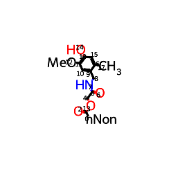 CCCCCCCCCC(=O)OCC(=O)NCc1cc(OC)c(O)cc1C